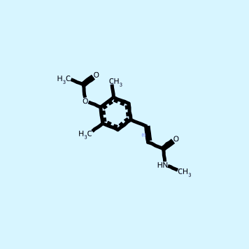 CNC(=O)/C=C/c1cc(C)c(OC(C)=O)c(C)c1